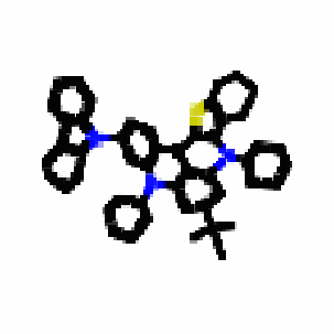 CC(C)(C)c1cc2c3c(c1)N(c1ccccc1)c1c(sc4c1CCCC4)B3c1ccc(-n3c4ccccc4c4ccccc43)cc1N2c1ccccc1